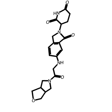 O=C1CCC(N2Cc3ccc(NCC(=O)N4CC5COCC5C4)cc3C2=O)C(=O)N1